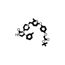 Cc1cccc([C@@H]2CNC(=O)N2C2CCN(Cc3ccc(Oc4ccc(OCC(=O)OC(C)(C)C)cc4)nc3C)CC2)c1